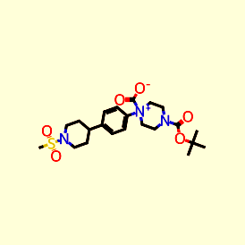 CC(C)(C)OC(=O)N1CC[N+](C(=O)[O-])(c2ccc(C3CCN(S(C)(=O)=O)CC3)cc2)CC1